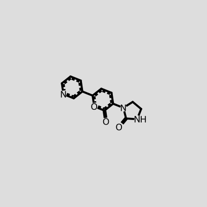 O=C1NCCN1c1ccc(-c2cccnc2)oc1=O